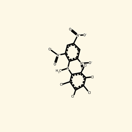 CN(c1c([N+](=O)[O-])cc([N+](=O)[O-])cc1[N+](=O)[O-])c1c(Cl)c(Cl)c(Cl)c(Cl)c1Cl